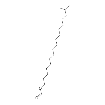 CC(C)CCCCCCCCCCCCCCCO[C]=O